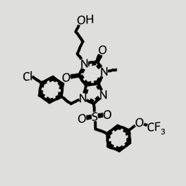 Cn1c(=O)n(CCCO)c(=O)c2c1nc(S(=O)(=O)Cc1cccc(OC(F)(F)F)c1)n2Cc1ccc(Cl)cc1